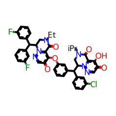 CCN1CC(C(c2cccc(F)c2)c2cccc(F)c2)n2ncc(=O)c(Oc3cccc(C(c4cccc(Cl)c4)C4CN(C(C)C)C(=O)c5c(O)c(=O)cnn54)c3)c2C1=O